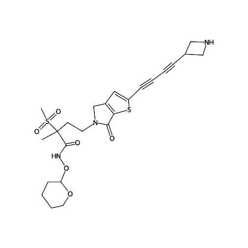 CC(CCN1Cc2cc(C#CC#CC3CNC3)sc2C1=O)(C(=O)NOC1CCCCO1)S(C)(=O)=O